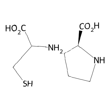 NC(CS)C(=O)O.O=C(O)[C@@H]1CCCN1